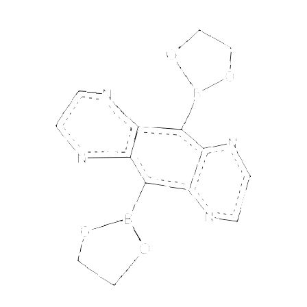 c1cnc2c(B3OCCO3)c3nccnc3c(B3OCCO3)c2n1